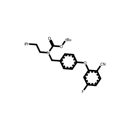 CC(C)CCN(Cc1ccc(Oc2cc(F)ccc2C#N)cc1)C(=O)OC(C)(C)C